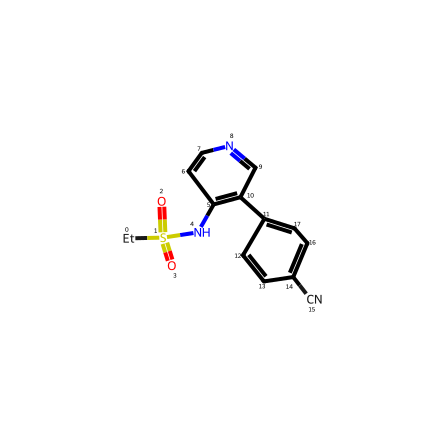 CCS(=O)(=O)Nc1ccncc1-c1ccc(C#N)cc1